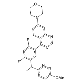 COc1ccc(C(C)c2cc(-c3ncnc4cc(N5CCOCC5)ccc34)c(F)cc2F)nn1